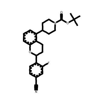 CC(C)(C)OC(=O)N1CCC(c2cccc3c2CCC(c2ccc(C#N)cc2F)O3)CC1